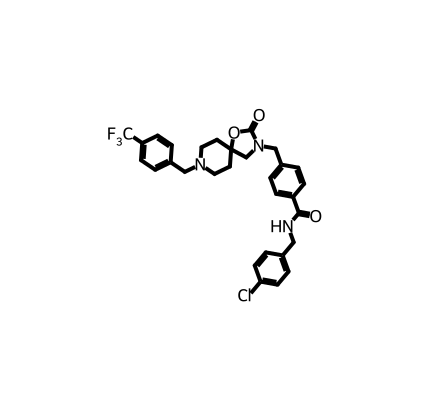 O=C(NCc1ccc(Cl)cc1)c1ccc(CN2CC3(CCN(Cc4ccc(C(F)(F)F)cc4)CC3)OC2=O)cc1